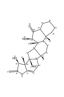 C=N[C@@]12CC3[C@H]4C(CC[C@]3(C)C1CC=C1OC(=O)[C@@H](O)[C@@]12C)[C@@]1(C)CCCCC1C(=O)[C@@H]4O